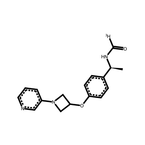 [3H]C(=O)N[C@@H](C)c1ccc(OC2CN(c3cccnc3)C2)cc1